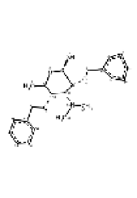 C[C@H]1O[C@@H](S)[C@H](OCc2ccccc2)[C@H](N(C)C)[C@@H]1OCc1ccccc1